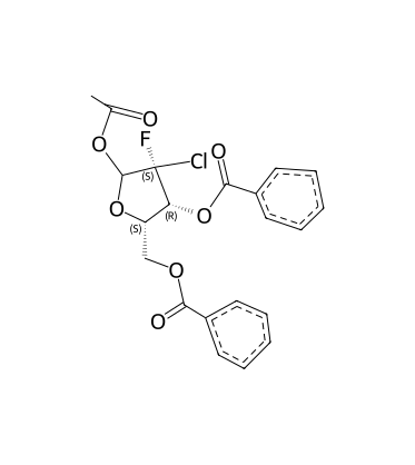 CC(=O)OC1O[C@@H](COC(=O)c2ccccc2)[C@@H](OC(=O)c2ccccc2)[C@]1(F)Cl